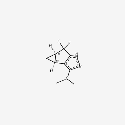 CN(C)c1n[nH]c2c1[C@H]1C[C@H]1C2(F)F